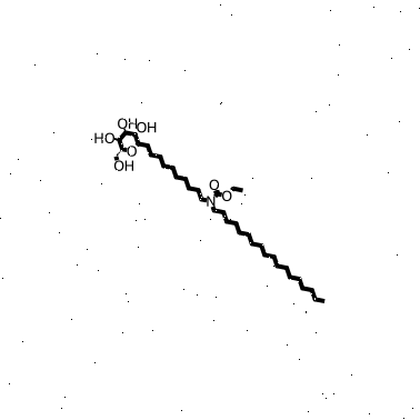 CCCCCCCCCCCCCCCCCCN(CCCCCCCCCCC1O[C@H](CO)[C@@H](O)[C@H](O)[C@H]1O)C(=O)OCC